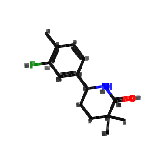 Cc1ccc(C2CCC(C)(C)C(=O)N2)cc1F